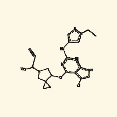 C=CC(O)N1CC(Oc2nc(Nc3cnn(CC)c3)nc3[nH]cc(Cl)c23)C2(CC2)C1